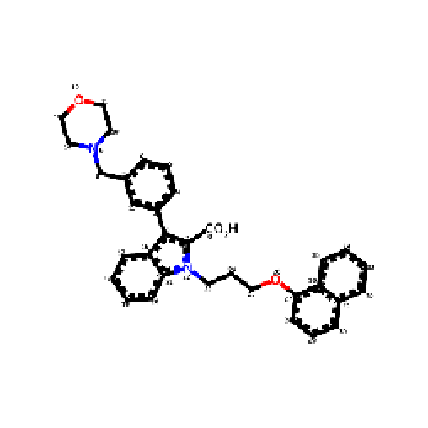 O=C(O)c1c(-c2cccc(CN3CCOCC3)c2)c2ccccc2n1CCCOc1cccc2ccccc12